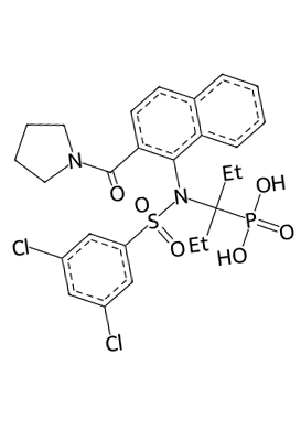 CCC(CC)(N(c1c(C(=O)N2CCCC2)ccc2ccccc12)S(=O)(=O)c1cc(Cl)cc(Cl)c1)P(=O)(O)O